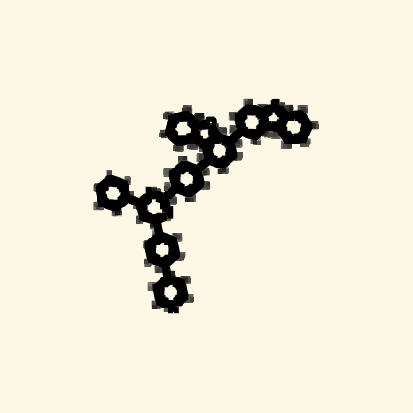 c1ccc(-c2cc(-c3ccc(-c4ccncc4)cc3)nc(-c3ccc(-c4ccc(-c5ccc6sc7ccccc7c6c5)c5oc6ccccc6c45)cc3)n2)cc1